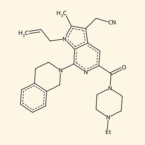 C=CCn1c(C)c(CC#N)c2cc(C(=O)N3CCN(CC)CC3)nc(N3CCc4ccccc4C3)c21